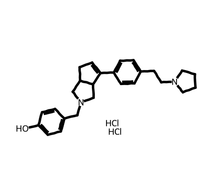 Cl.Cl.Oc1ccc(CN2CC3CC=C(c4ccc(CCN5CCCC5)cc4)C3C2)cc1